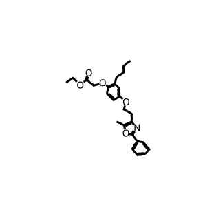 CCCCc1cc(OCCc2nc(-c3ccccc3)oc2C)ccc1OCC(=O)OCC